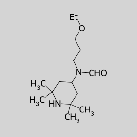 CCOCCCN(C=O)C1CC(C)(C)NC(C)(C)C1